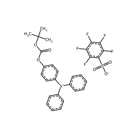 CC(C)(C)OC(=O)Oc1ccc([S+](c2ccccc2)c2ccccc2)cc1.O=S(=O)([O-])c1c(F)c(F)c(F)c(F)c1F